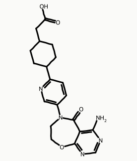 Nc1ncnc2c1C(=O)N(c1ccc(C3CCC(CC(=O)O)CC3)nc1)CCO2